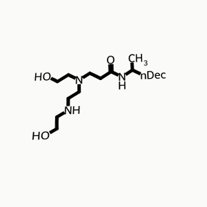 CCCCCCCCCCC(C)NC(=O)CCN(CCO)CCNCCO